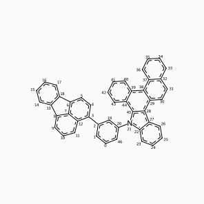 c1cc(-c2ccc3c4c(cccc24)-c2ccccc2-3)cc(-n2c3ccccc3c3c4ccc5ccccc5c4c4ccccc4c32)c1